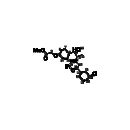 COC(=O)COc1ccc(CC(C)NCC(OC(C)C)c2cccc(Cl)c2)cc1.Cl